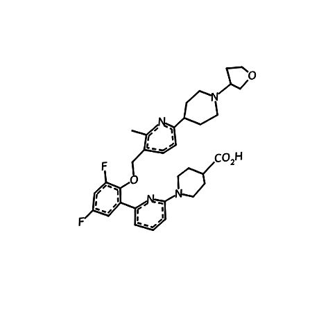 Cc1nc(C2CCN(C3CCOC3)CC2)ccc1COc1c(F)cc(F)cc1-c1cccc(N2CCC(C(=O)O)CC2)n1